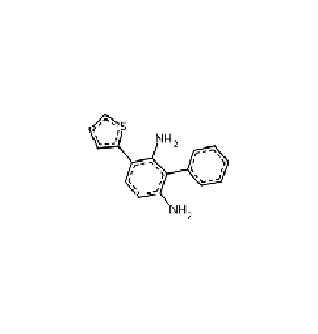 Nc1ccc(-c2cccs2)c(N)c1-c1ccccc1